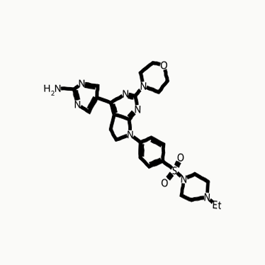 CCN1CCN(S(=O)(=O)c2ccc(N3CCc4c(-c5cnc(N)nc5)nc(N5CCOCC5)nc43)cc2)CC1